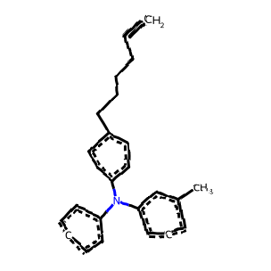 C=CCCCCc1ccc(N(c2ccccc2)c2cccc(C)c2)cc1